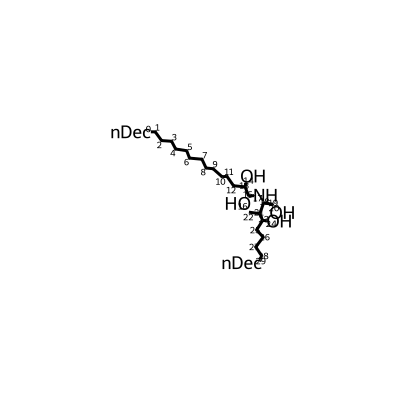 CCCCCCCCCCCCCCCCCCCCCCC(O)C(O)NC(CO)C(C)C(O)CCCCCCCCCCCCCC